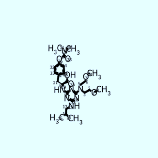 COCCN(CCOC)c1nc(NCC(C)C)nc(N[C@@H](Cc2ccc(OC(=O)N(C)C)cc2)C(=O)O)n1